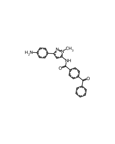 Cn1nc(-c2ccc(N)cc2)cc1NC(=O)c1ccc(C(=O)c2ccccc2)cc1